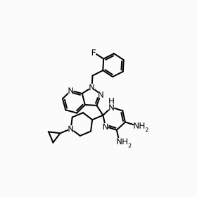 NC1=CNC(c2nn(Cc3ccccc3F)c3ncccc23)(C2CCN(C3CC3)CC2)N=C1N